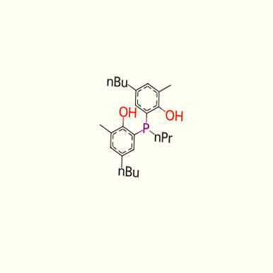 CCCCc1cc(C)c(O)c(P(CCC)c2cc(CCCC)cc(C)c2O)c1